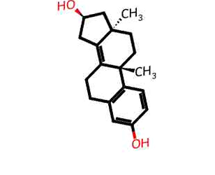 C[C@]12CC[C@@]3(C)C(=C1C[C@@H](O)C2)CCc1cc(O)ccc13